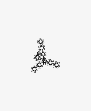 C1=CC(c2ccc(-c3nc(-c4ccc(-c5ccccc5)cc4)nc(-c4ccc(-c5ccccc5)cc4)n3)c3c2oc2ccccc23)CC=C1c1ccccc1